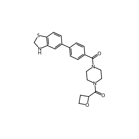 O=C(c1ccc(-c2ccc3c(c2)NCS3)cc1)N1CCN(C(=O)C2CCO2)CC1